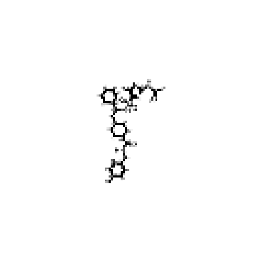 CC(=O)Nc1nc(C)c(S(=O)(=O)NC(CC2CCC(C(=O)NCc3ccc(C)cc3)CC2)c2ccccc2)s1